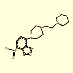 O=[N+]([O-])c1ccc(N2CCN(CCN3CCOCC3)CC2)c2nonc12